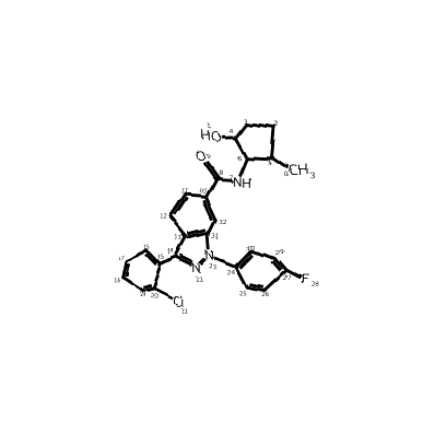 CC1CCC(O)C1NC(=O)c1ccc2c(-c3ccccc3Cl)nn(-c3ccc(F)cc3)c2c1